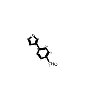 O=[C]c1ccc(-c2ccsc2)cc1